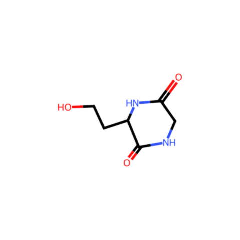 O=C1CNC(=O)C(CCO)N1